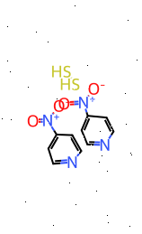 O=[N+]([O-])c1ccncc1.O=[N+]([O-])c1ccncc1.SS